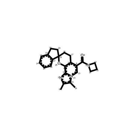 Cc1nc2c3c(c(C(=O)N4CCC4)cn2c1C)CCC1(CCc2ccccc21)O3